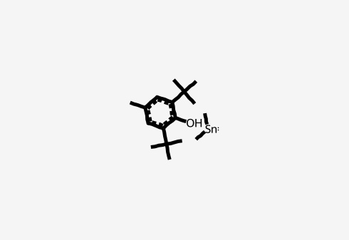 Cc1cc(C(C)(C)C)c(O)c(C(C)(C)C)c1.[CH3][Sn][CH3]